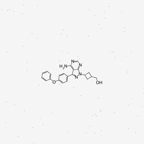 Nc1ncnc2c1c(-c1ccc(Oc3ccccc3)cc1)nn2C1CC(CO)C1